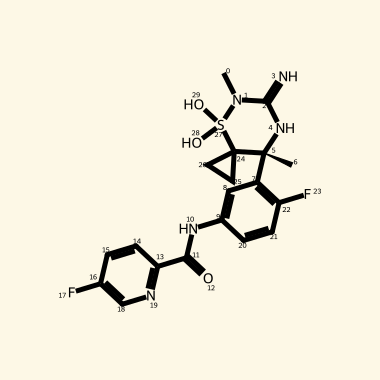 CN1C(=N)N[C@](C)(c2cc(NC(=O)c3ccc(F)cn3)ccc2F)C2(CC2)S1(O)O